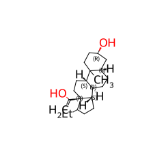 C=C(O)[C@@]12CC[C@H]3[C@@H](CC[C@H]4C[C@H](O)CCC43C)[C@@H]1CCC2CC